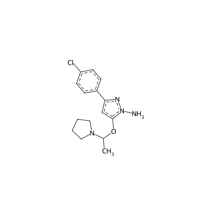 CC(Oc1cc(-c2ccc(Cl)cc2)nn1N)N1CCCC1